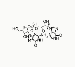 Nc1nc2c(ncn2[C@]2(OP(=O)(S)OC[C@H]3OCC(F)(n4cnc5c(=O)[nH]cnc54)[C@@H]3O)CS[C@H](CO)[C@H]2O)c(=O)[nH]1